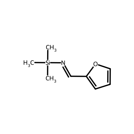 C[Si](C)(C)N=Cc1ccco1